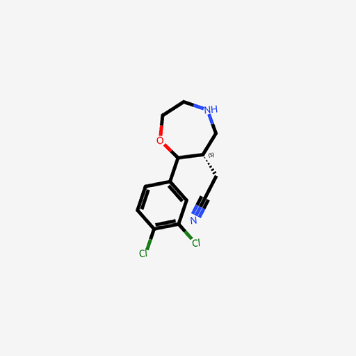 N#CC[C@H]1CNCCOC1c1ccc(Cl)c(Cl)c1